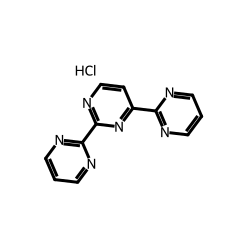 Cl.c1cnc(-c2ccnc(-c3ncccn3)n2)nc1